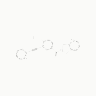 Cc1ccc(C(=O)N2Cc3cccnc3C2)cc1C#Cc1ccccn1